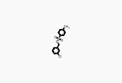 Cc1ccc(S(=O)(=O)OCc2cccc(Cl)c2)cc1